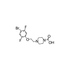 O=C(O)N1CCN(CCOc2cc(F)c(Br)cc2F)CC1